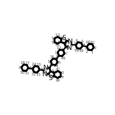 c1ccc(-c2ccc(-c3nc(-c4ccc(-c5ccc(-c6nc(-c7ccc(-c8ccccc8)cc7)nc7sc8ccccc8c67)cc5)cc4)c4c(n3)sc3ccccc34)cc2)cc1